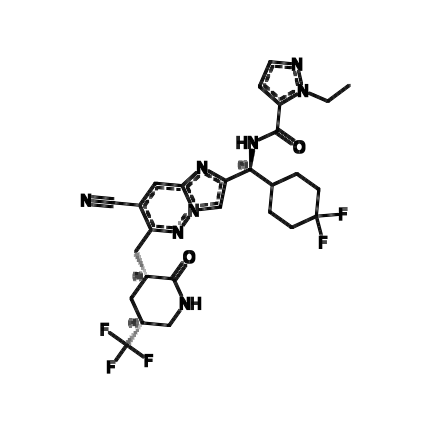 CCn1nccc1C(=O)N[C@H](c1cn2nc(C[C@H]3C[C@@H](C(F)(F)F)CNC3=O)c(C#N)cc2n1)C1CCC(F)(F)CC1